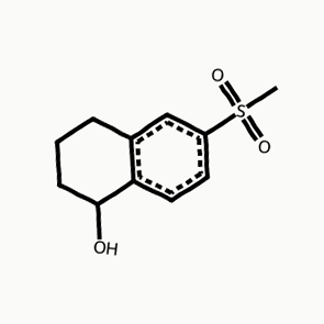 CS(=O)(=O)c1ccc2c(c1)CCCC2O